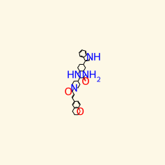 NC(=O)C(NC1CCC(c2c[nH]c3ccccc23)CC1)C1CCN(C(=O)C=Cc2ccc3c(c2)CCCO3)CC1